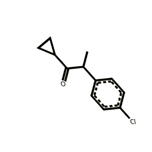 CC(C(=O)C1CC1)c1ccc(Cl)cc1